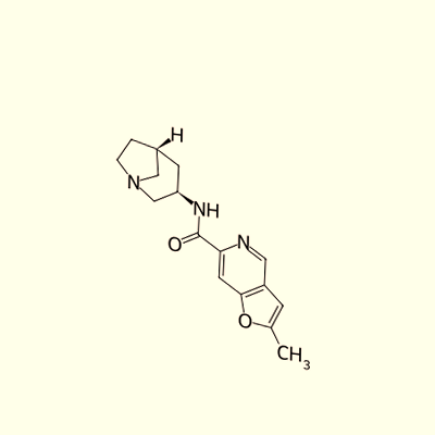 Cc1cc2cnc(C(=O)N[C@@H]3C[C@H]4CCN(C4)C3)cc2o1